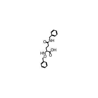 O=C(CCC(NOCc1ccccc1)C(=O)O)NCc1ccccc1